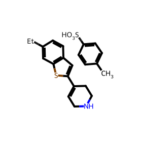 CCc1ccc2cc(C3=CCNCC3)sc2c1.Cc1ccc(S(=O)(=O)O)cc1